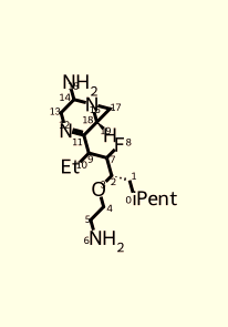 CCCC(C)C[C@H](OCCN)C(F)C(CC)C1=NCC(N)N2C[C@H]12